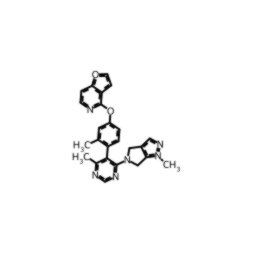 Cc1cc(Oc2nccc3occc23)ccc1-c1c(C)ncnc1N1Cc2cnn(C)c2C1